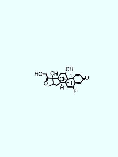 C[C@@H]1C[C@H]2[C@@H]3C=C(F)C4=CC(=O)C=C[C@]4(C)[C@@]3(Cl)[C@@H](O)C[C@]2(C)[C@@]1(O)C(=O)CO